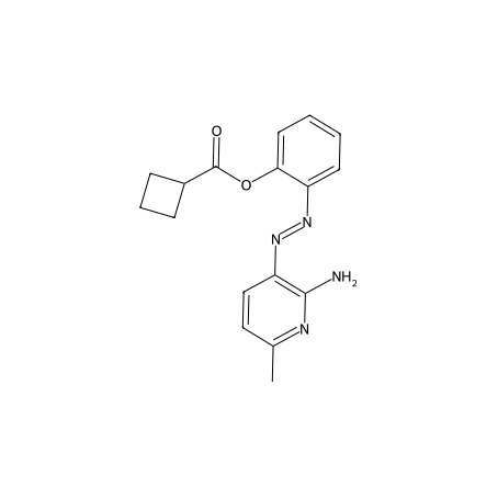 Cc1ccc(/N=N/c2ccccc2OC(=O)C2CCC2)c(N)n1